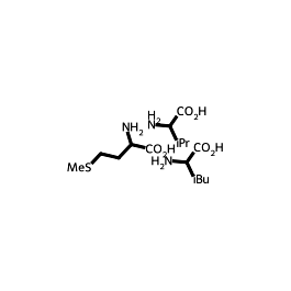 CC(C)C(N)C(=O)O.CCC(C)C(N)C(=O)O.CSCCC(N)C(=O)O